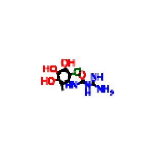 Cc1c(O)c(O)c(O)c(Cl)c1NC(=O)NC(=N)N